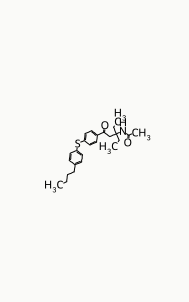 CCCCc1ccc(Sc2ccc(C(=O)CC(CC)(CC)NC(C)=O)cc2)cc1